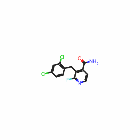 NC(=O)c1ccnc(F)c1Cc1ccc(Cl)cc1Cl